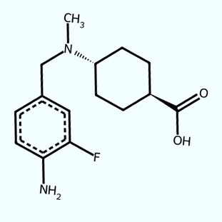 CN(Cc1ccc(N)c(F)c1)[C@H]1CC[C@H](C(=O)O)CC1